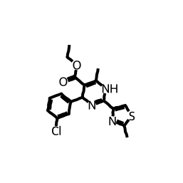 CCOC(=O)C1=C(C)NC(c2csc(C)n2)=NC1c1cccc(Cl)c1